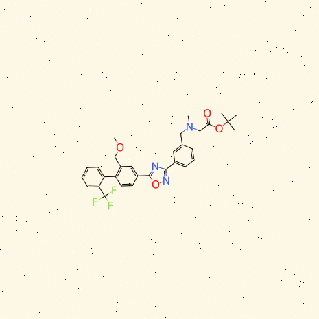 COCc1cc(-c2nc(-c3cccc(CN(C)CC(=O)OC(C)(C)C)c3)no2)ccc1-c1ccccc1C(F)(F)F